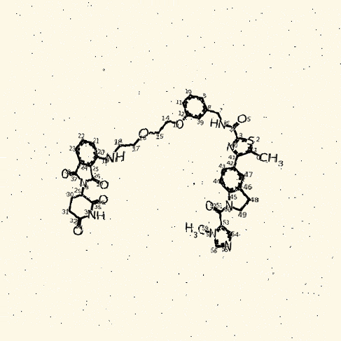 Cc1sc(C(=O)NCc2cccc(OCCOCCNc3cccc4c3C(=O)N(C3CCC(=O)NC3=O)C4=O)c2)nc1-c1ccc2c(c1)CCN2C(=O)c1cncn1C